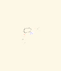 CCN(CC(=O)c1ccccc1)c1ccccc1OCc1ccccc1